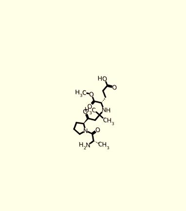 COC(=O)[C@H](CCC(=O)O)NC(C)(C)CC(=O)[C@@H]1CCCN1C(=O)[C@H](C)N